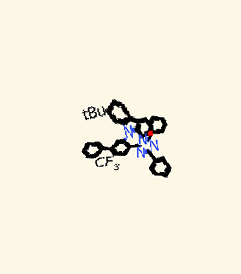 CC(C)(C)c1ccc2c3ccccc3n(-c3cc(-c4ccccc4C(F)(F)F)ccc3-c3nc(-c4ccccc4)nc(-c4ccccc4)n3)c2c1